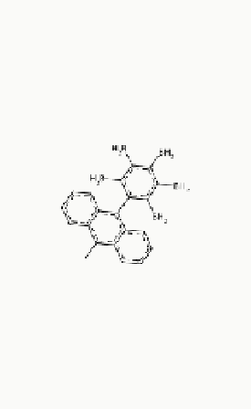 Bc1c(B)c(B)c(-c2c3ccccc3c(C)c3ccccc23)c(B)c1B